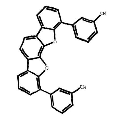 N#Cc1cccc(-c2cccc3c2oc2c3ccc3c4cccc(-c5cccc(C#N)c5)c4oc32)c1